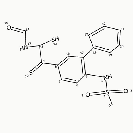 CS(=O)(=O)Nc1ccc(C(=S)C(S)NC=O)cc1-c1ccccc1